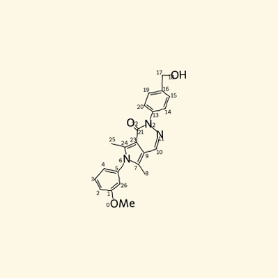 COc1cccc(-n2c(C)c3cnn(-c4ccc(CO)cc4)c(=O)c3c2C)c1